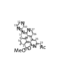 COC(=O)c1ccc(CN(c2cnccn2)c2cc(-c3ccnc(CC(C)=O)c3)ccn2)cc1